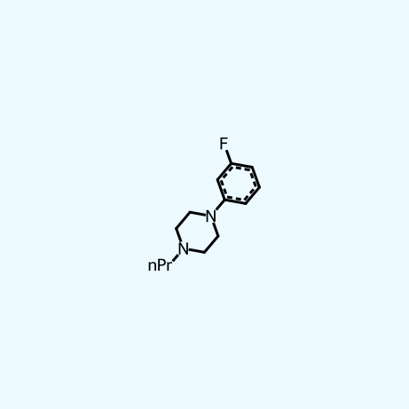 [CH2]CCN1CCN(c2cccc(F)c2)CC1